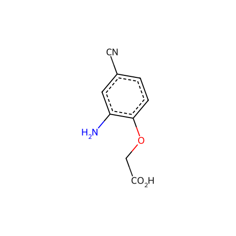 N#Cc1ccc(OCC(=O)O)c(N)c1